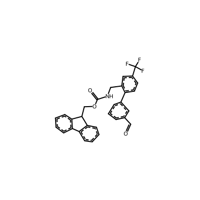 O=Cc1cccc(-c2ccc(C(F)(F)F)cc2CNC(=O)OCC2c3ccccc3-c3ccccc32)c1